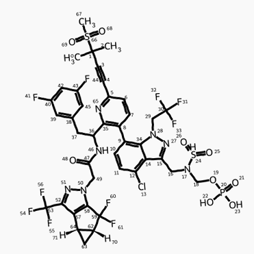 CC(C)(C#Cc1ccc(-c2ccc(Cl)c3c(CN(COP(=O)(O)O)[SH](=O)=O)nn(CC(F)(F)F)c23)c(C(Cc2cc(F)cc(F)c2)NC(=O)Cn2nc(C(F)(F)F)c3c2C(F)(F)[C@@H]2C[C@H]32)n1)S(C)(=O)=O